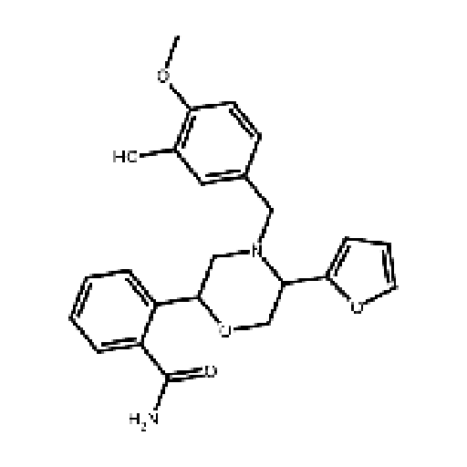 COc1ccc(CN2CC(c3ccccc3C(N)=O)OCC2c2ccco2)cc1O